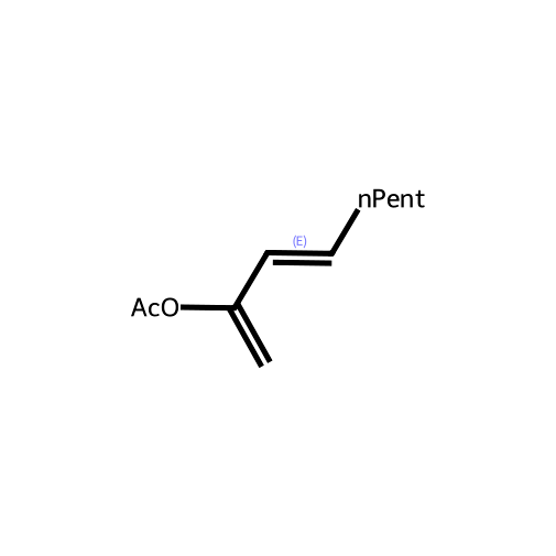 C=C(/C=C/CCCCC)OC(C)=O